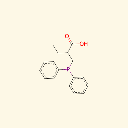 CCC(CP(c1ccccc1)c1ccccc1)C(=O)O